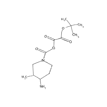 CC1CN(C(=O)OC(=O)C(=O)OC(C)(C)C)CCC1N